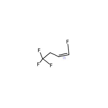 F/C=C\CC(F)(F)F